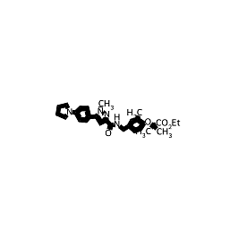 CCOC(=O)C(C)(C)Oc1ccc(CNC(=O)c2cc(-c3ccc(N4CCCC4)cc3)n(C)n2)cc1C